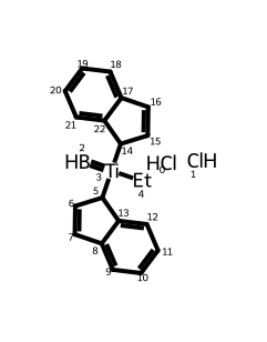 Cl.Cl.[BH]=[Ti]([CH2]C)([CH]1C=Cc2ccccc21)[CH]1C=Cc2ccccc21